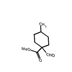 COC(=O)C1(C=O)CCC(C)CC1